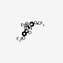 CCS(=O)(=O)c1c(N2Cc3ccc(OC(F)(F)F)cc3C2=O)nc2cc(OCC(F)(F)F)ccn12